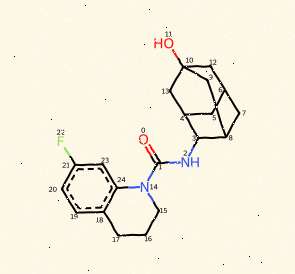 O=C(NC1C2CC3CC1CC(O)(C3)C2)N1CCCc2ccc(F)cc21